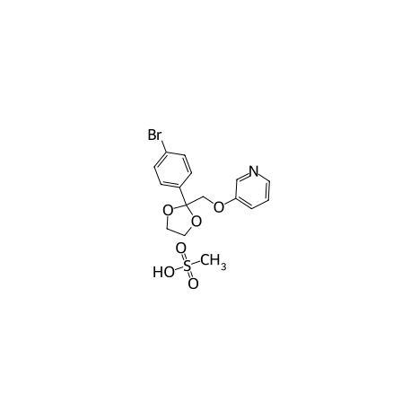 Brc1ccc(C2(COc3cccnc3)OCCO2)cc1.CS(=O)(=O)O